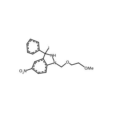 COCCOCN1NC(I)(c2ccccc2)c2cc([N+](=O)[O-])ccc21